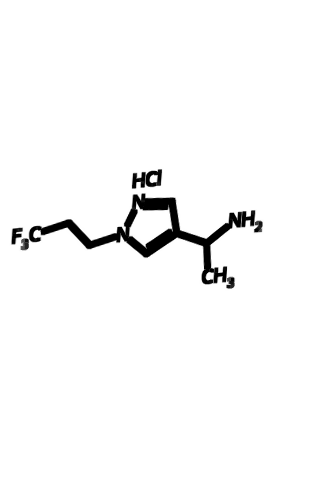 CC(N)c1cnn(CCC(F)(F)F)c1.Cl